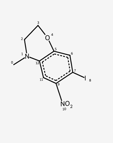 CN1CCOc2cc(I)c([N+](=O)[O-])cc21